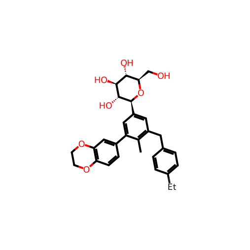 CCc1ccc(Cc2cc([C@@H]3O[C@H](CO)[C@@H](O)[C@H](O)[C@H]3O)cc(-c3ccc4c(c3)OCCO4)c2C)cc1